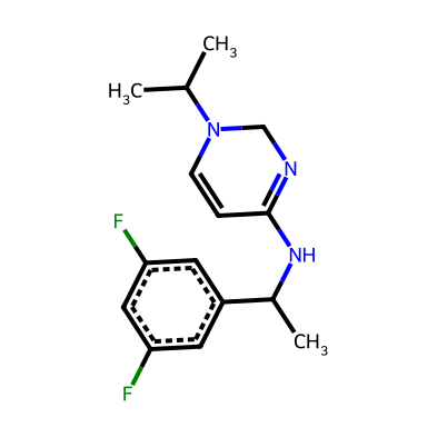 CC(NC1=NCN(C(C)C)C=C1)c1cc(F)cc(F)c1